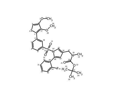 COc1csc(-c2cccc(S(=O)(=O)n3cc(CN(C)C(=O)OC(C)(C)C)cc3-c3ccccc3F)c2)c1OC